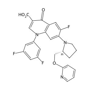 O=C(O)c1cn(-c2cc(F)cc(F)c2)c2cc(N3CCC[C@@H]3COc3ccccn3)c(F)cc2c1=O